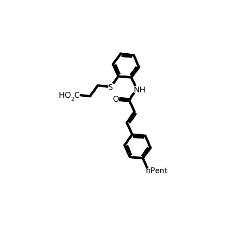 CCCCCc1ccc(C=CC(=O)Nc2ccccc2SCCC(=O)O)cc1